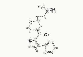 CN(C)CCC1CN(C(=O)c2[nH]cnc2-c2ccccc2)CCO1